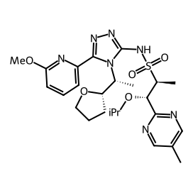 COc1cccc(-c2nnc(NS(=O)(=O)[C@@H](C)[C@@H](OC(C)C)c3ncc(C)cn3)n2[C@H](C)[C@@H]2CCCO2)n1